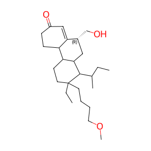 CCC(C)C1C2C[C@@H](CO)C3=CC(=O)CCC3C2CCC1(CC)CCCCOC